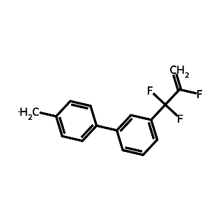 [CH2]c1ccc(-c2cccc(C(F)(F)C(=C)F)c2)cc1